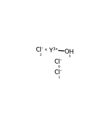 [Cl-].[Cl-].[Cl-].[OH][Y+3]